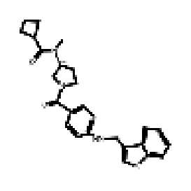 CN(C(=O)C1CCC1)[C@H]1CCN(C(=O)c2ccc(NCc3csc4ccccc34)nc2)C1